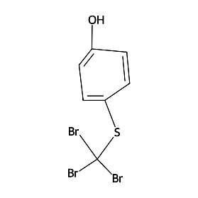 Oc1ccc(SC(Br)(Br)Br)cc1